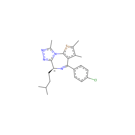 Cc1sc2c(c1C)C(c1ccc(Cl)cc1)=N[C@@H](CCC(C)C)c1nnc(C)n1-2